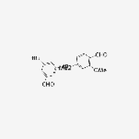 CC(C)(C)c1cc(C=O)cc(C(C)(C)C)c1.COc1ccc(C=O)c(OC)c1